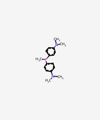 CN(C)c1ccc(P(C)c2ccc(N(C)C)cc2)cc1